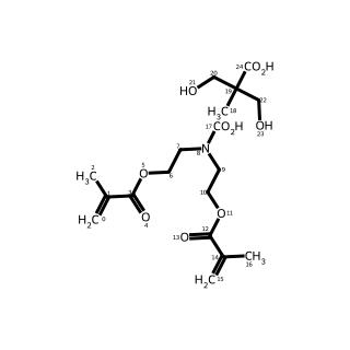 C=C(C)C(=O)OCCN(CCOC(=O)C(=C)C)C(=O)O.CC(CO)(CO)C(=O)O